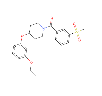 CCOc1cccc(OC2CCN(C(=O)c3cccc(S(C)(=O)=O)c3)CC2)c1